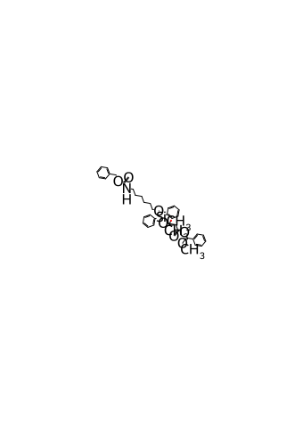 COC(OC(=O)CC(C)(C)O[Si](OCCCCCCNC(=O)OCc1ccccc1)(c1ccccc1)c1ccccc1)c1ccccc1